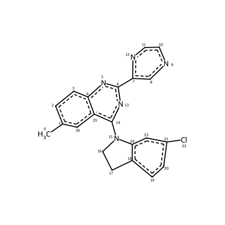 Cc1ccc2nc(-c3cnccn3)nc(N3CCc4ccc(Cl)cc43)c2c1